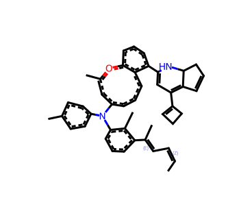 C/C=C\C=C(/C)c1cccc(N(c2ccc(C)cc2)c2cccc3c(C4=CC(C5=CCC5)=C5C=CCC5N4)cccc3oc(C)c2)c1C